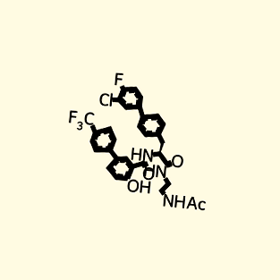 CC(=O)NCCNC(=O)[C@H](Cc1ccc(-c2ccc(F)c(Cl)c2)cc1)NC(=O)c1cc(-c2ccc(C(F)(F)F)cc2)ccc1O